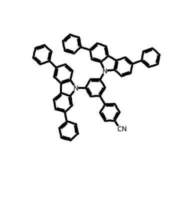 N#Cc1ccc(-c2cc(-n3c4ccc(-c5ccccc5)cc4c4ccc(-c5ccccc5)cc43)cc(-n3c4ccc(-c5ccccc5)cc4c4ccc(-c5ccccc5)cc43)c2)cc1